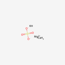 O=S(=O)([O-])[O-].[CaH2].[KH].[Mg+2]